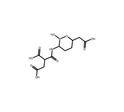 O=C(O)CC1CCC(NC(=O)C(CC(=O)O)C(=O)O)B(O)O1